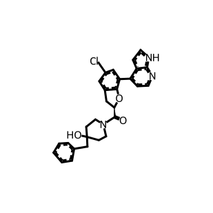 O=C([C@H]1Cc2cc(Cl)cc(-c3ccnc4[nH]ccc34)c2O1)N1CCC(O)(Cc2ccccc2)CC1